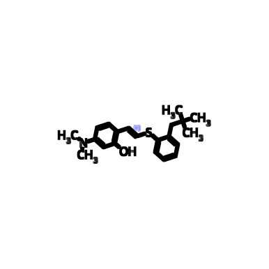 CN(C)c1ccc(/C=C/Sc2ccccc2CC(C)(C)C)c(O)c1